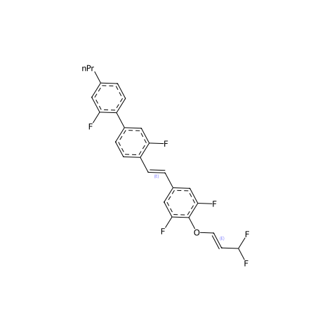 CCCc1ccc(-c2ccc(/C=C/c3cc(F)c(O/C=C/C(F)F)c(F)c3)c(F)c2)c(F)c1